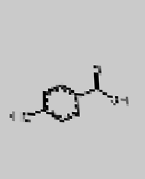 [CH]c1ccc(C(=O)O)cc1